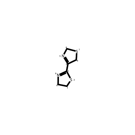 C1CSC(C2=NCSC2)=N1